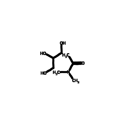 CC(=O)N(C)C.OCC(O)CO